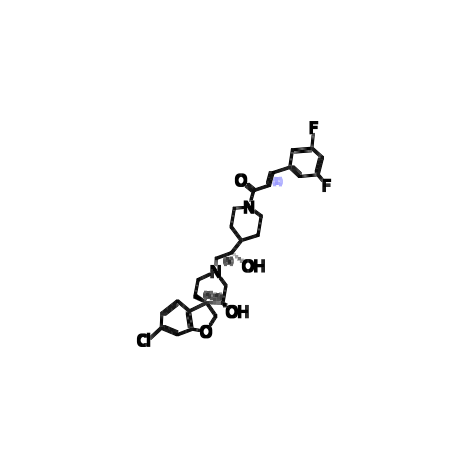 O=C(/C=C/c1cc(F)cc(F)c1)N1CCC([C@H](O)CN2CC[C@]3(COc4cc(Cl)ccc43)[C@H](O)C2)CC1